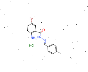 Cc1ccc(C=NNC(=O)c2cc(Br)ccc2N)cc1.Cl